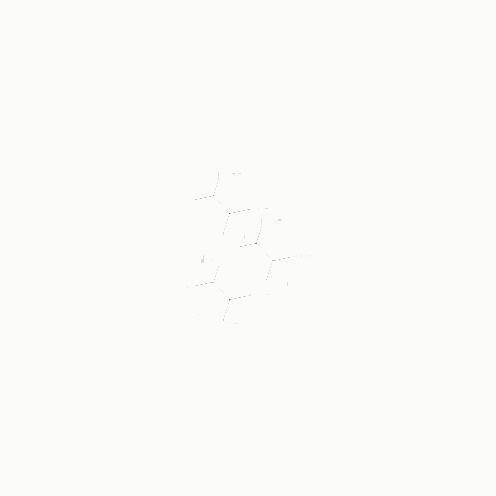 CCCCCCCCCCC(C)C(CCCCCCCC)C(=O)[O-].CCCCCCCCCCC(C)C(CCCCCCCC)C(=O)[O-].CCCCCCCCCCC(C)C(CCCCCCCC)C(=O)[O-].[Rh+3]